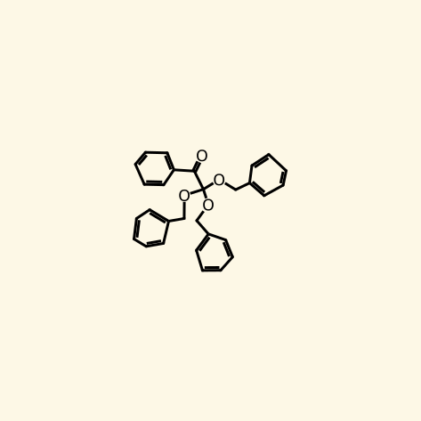 O=C(c1ccccc1)C(OCc1ccccc1)(OCc1ccccc1)OCc1ccccc1